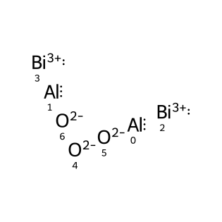 [Al].[Al].[Bi+3].[Bi+3].[O-2].[O-2].[O-2]